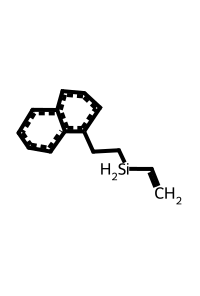 C=C[SiH2]CCc1cccc2ccccc12